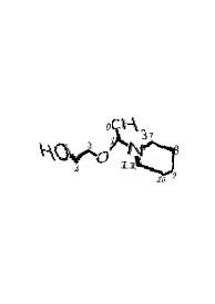 CC(OCCO)N1CCCCC1